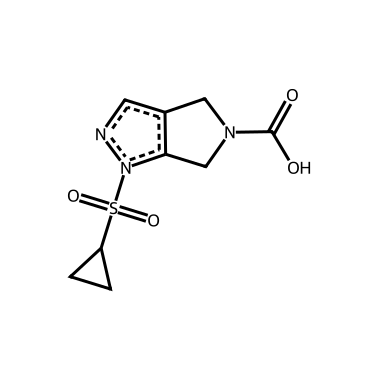 O=C(O)N1Cc2cnn(S(=O)(=O)C3CC3)c2C1